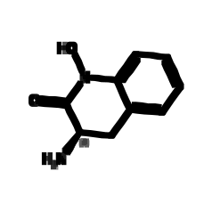 N[C@@H]1Cc2ccccc2N(O)C1=O